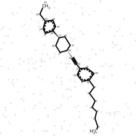 CCCCCCCCc1ccc(C#C[C@H]2CC[C@H](c3ccc(CC)cc3)CC2)cc1